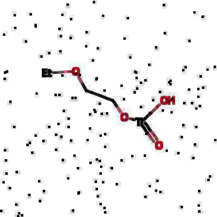 CCOCC[O][Ti](=[O])[OH]